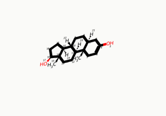 C[C@]12CC=C(O)C[C@@H]1CC[C@@H]1[C@@H]2CC[C@]2(C)[C@@H](O)CC[C@@H]12